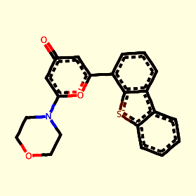 O=c1cc(-c2cccc3c2sc2ccccc23)oc(N2CCOCC2)c1